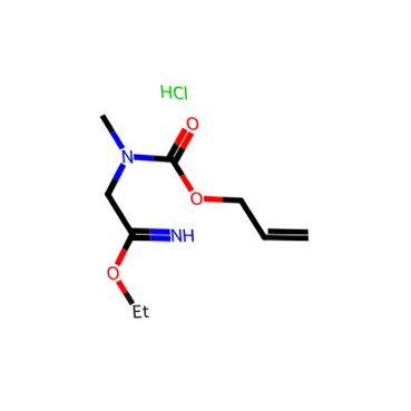 C=CCOC(=O)N(C)CC(=N)OCC.Cl